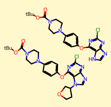 CC(C)(C)OC(=O)N1CCN(c2ccc(Oc3nc(Cl)nc4nc[nH]c34)cc2)CC1.CC(C)(C)OC(=O)N1CCN(c2ccc(Oc3nc(Cl)nc4ncn(C5CCOC5)c34)cc2)CC1